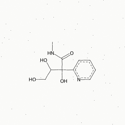 CNC(=O)C(O)(c1ccccn1)C(O)CO